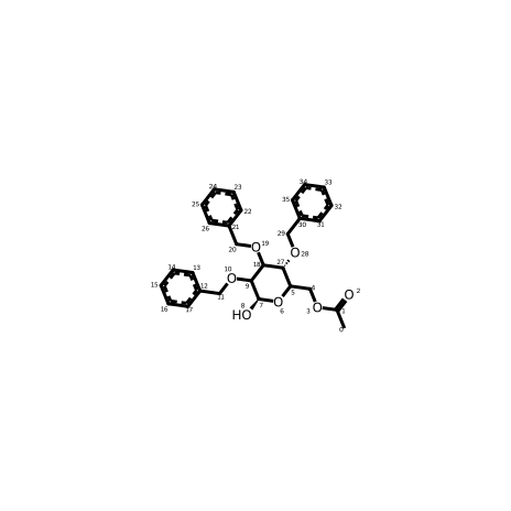 CC(=O)OCC1O[C@@H](O)C(OCc2ccccc2)C(OCc2ccccc2)[C@@H]1OCc1ccccc1